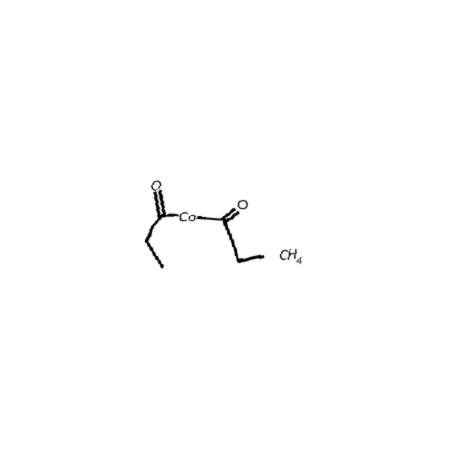 C.CC[C](=O)[Co][C](=O)CC